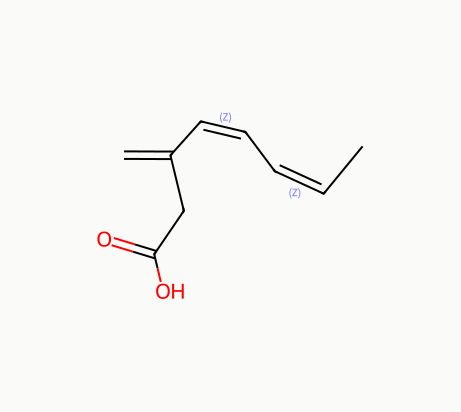 C=C(/C=C\C=C/C)CC(=O)O